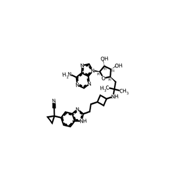 CC(C)(C[C@H]1O[C@@H](n2cnc3c(N)ncnc32)[C@H](O)[C@@H]1O)NC1CC(CCc2nc3cc(C4(C#N)CC4)ccc3[nH]2)C1